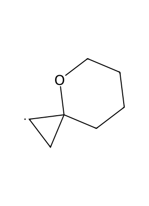 [CH]1CC12CCCCO2